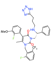 COc1cccc(-c2c(C)n(Cc3c(F)cccc3C(F)(F)F)c(=O)n(C[C@H](NCCCc3nnn[nH]3)c3ccccc3)c2=O)c1F